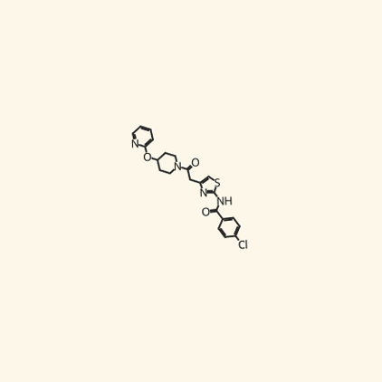 O=C(Nc1nc(CC(=O)N2CCC(Oc3ccccn3)CC2)cs1)c1ccc(Cl)cc1